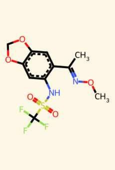 CO/N=C(\C)c1cc2c(cc1NS(=O)(=O)C(F)(F)F)OCO2